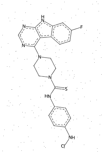 Fc1ccc2c(c1)[nH]c1ncnc(N3CCN(C(=S)Nc4ccc(NCl)cc4)CC3)c12